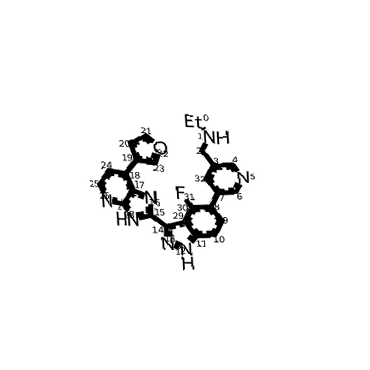 CCNCc1cncc(-c2ccc3[nH]nc(-c4nc5c(-c6ccoc6)ccnc5[nH]4)c3c2F)c1